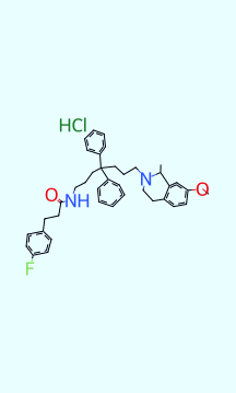 COc1ccc2c(c1)C(C)N(CCCC(CCCNC(=O)CCc1ccc(F)cc1)(c1ccccc1)c1ccccc1)CC2.Cl